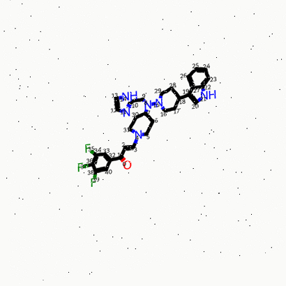 O=C(C=CN1CCC(N(Cc2ncc[nH]2)N2CCC(c3c[nH]c4ccccc34)CC2)CC1)c1cc(F)c(F)c(F)c1